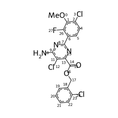 COc1c(Cl)ccc(-c2nc(N)c(Cl)c(C(=O)OCc3ccccc3Cl)n2)c1F